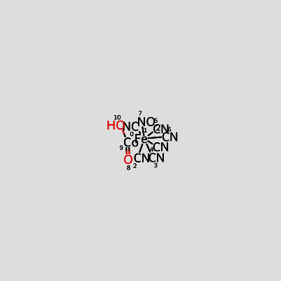 N#[C][Fe]([C]#N)([C]#N)([C]#N)([C]#N)([C]#N)[N+](=O)[O-].[O]=[Co][OH]